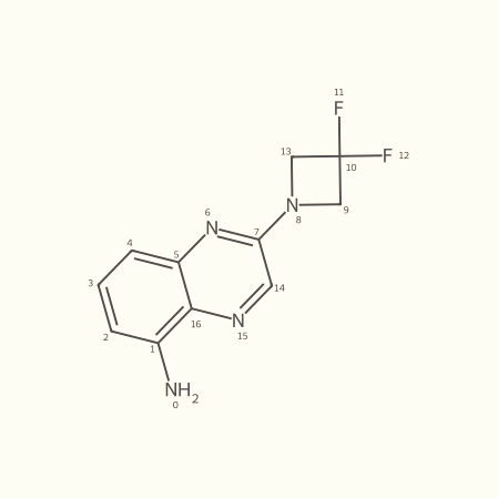 Nc1cccc2nc(N3CC(F)(F)C3)cnc12